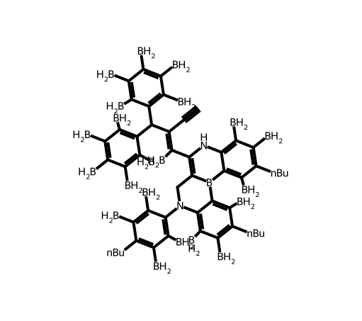 B/C(C1=C2CN(c3c(B)c(B)c(CCCC)c(B)c3B)c3c(B)c(B)c(CCCC)c(B)c3B2c2c(B)c(CCCC)c(B)c(B)c2N1)=C(/C#C)C(c1c(B)c(B)c(B)c(B)c1B)c1c(B)c(B)c(B)c(B)c1B